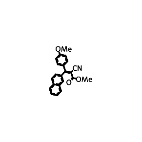 COC(=O)C(C#N)=C(c1ccc(OC)cc1)c1ccc2ccccc2c1